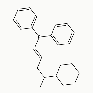 CC(CC=CP(c1ccccc1)c1ccccc1)C1CCCCC1